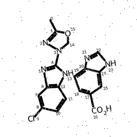 CC1=NN(c2nc3cc(Cl)ccc3[nH]2)CO1.O=C(O)c1ccc2nc[nH]c2c1